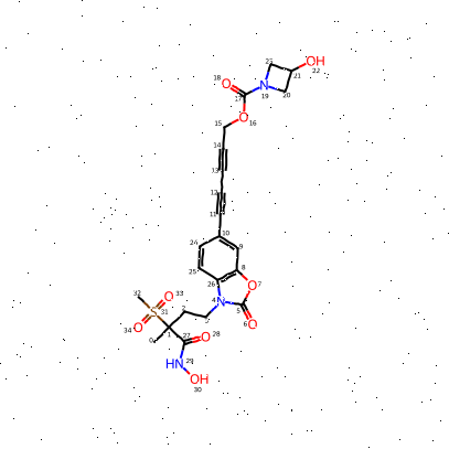 CC(CCn1c(=O)oc2cc(C#CC#CCOC(=O)N3CC(O)C3)ccc21)(C(=O)NO)S(C)(=O)=O